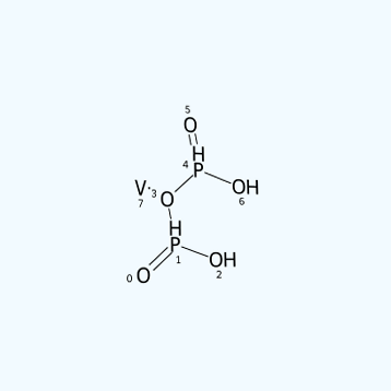 O=[PH](O)O[PH](=O)O.[V]